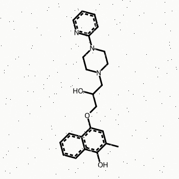 Cc1cc(OCC(O)CN2CCN(c3ccccn3)CC2)c2ccccc2c1O